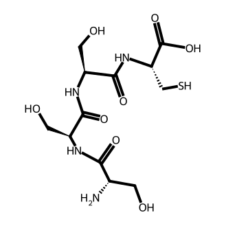 N[C@@H](CO)C(=O)N[C@@H](CO)C(=O)N[C@@H](CO)C(=O)N[C@@H](CS)C(=O)O